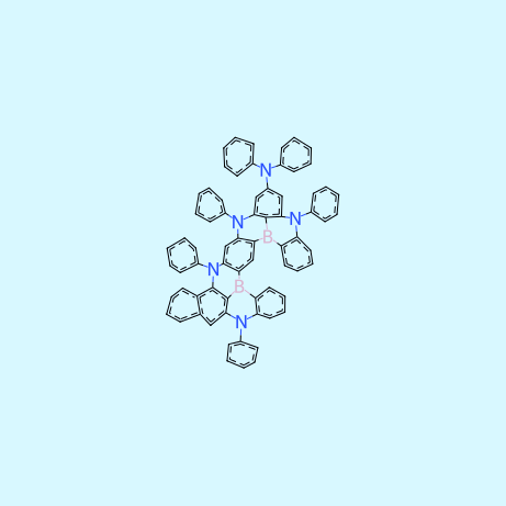 c1ccc(N(c2ccccc2)c2cc3c4c(c2)N(c2ccccc2)c2cc5c(cc2B4c2ccccc2N3c2ccccc2)B2c3ccccc3N(c3ccccc3)c3cc4ccccc4c(c32)N5c2ccccc2)cc1